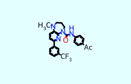 CC(=O)c1ccc(NC(=O)N2CCCN(C)c3ccc(-c4cccc(C(F)(F)F)c4)nc32)cc1